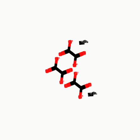 O=C([O-])C(=O)[O-].O=C([O-])C(=O)[O-].O=C([O-])C(=O)[O-].[Nd+3].[Nd+3]